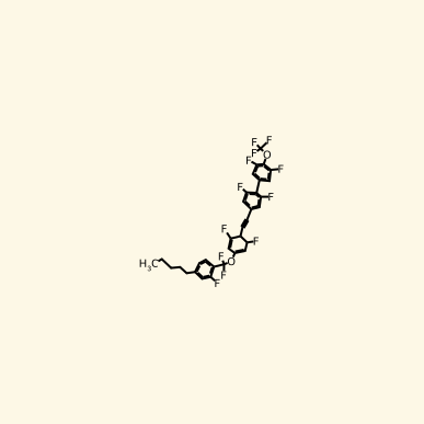 CCCCCc1ccc(C(F)(F)OC2=CC(F)C(C#Cc3cc(F)c(-c4cc(F)c(OC(F)(F)F)c(F)c4)c(F)c3)C(F)=C2)c(F)c1